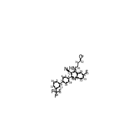 N#Cc1c(-c2ccc(-c3cccc(C(F)(F)F)c3)cc2)nc2ccc(F)cc2c1NCCC=O